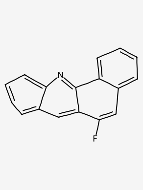 Fc1cc2ccccc2c2nc3ccccc3cc12